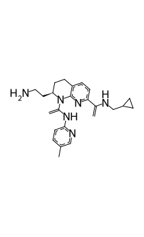 C=C(NCC1CC1)c1ccc2c(n1)N(C(=C)Nc1ccc(C)cn1)[C@@H](CCN)CC2